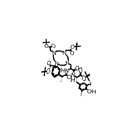 C[C@@H](C(=O)NC(CN1CCN(CC(=O)OC(C)(C)C)CCN(CC(=O)OC(C)(C)C)CCN(CC(=O)OC(C)(C)C)CC1)C(=O)N[C@@H](Cc1cc(I)c(O)c(I)c1)C(=O)OC(C)(C)C)c1ccccc1